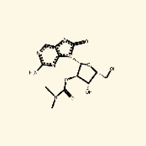 CN(C)C(=O)O[C@@H]1[C@@H](O)[C@@H](CO)O[C@H]1n1c(=O)sc2cnc(N)nc21